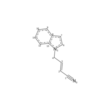 N#C/C=C/Cn1ccc2ccccc21